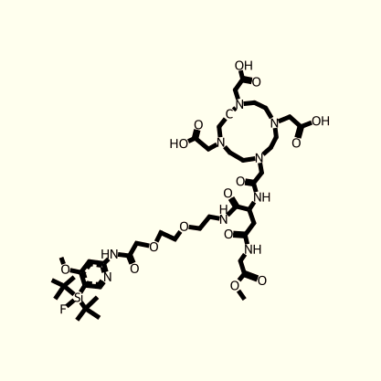 COC(=O)CNC(=O)CC(NC(=O)CN1CCN(CC(=O)O)CCN(CC(=O)O)CCN(CC(=O)O)CC1)C(=O)NCCOCCOCC(=O)Nc1cc(OC)c([Si](F)(C(C)(C)C)C(C)(C)C)cn1